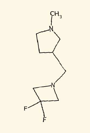 CN1CCC(CN2CC(F)(F)C2)C1